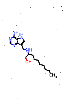 CCCCCCCCC(CO)NCc1c[nH]c2c(N)ncnc12